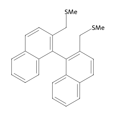 CSCc1ccc2ccccc2c1-c1c(CSC)ccc2ccccc12